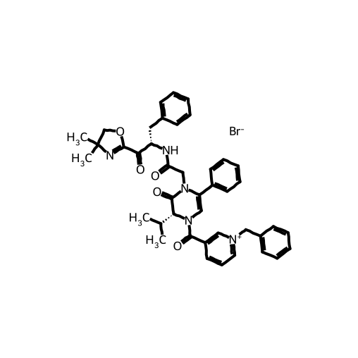 CC(C)[C@@H]1C(=O)N(CC(=O)N[C@@H](Cc2ccccc2)C(=O)C2=NC(C)(C)CO2)C(c2ccccc2)=CN1C(=O)c1ccc[n+](Cc2ccccc2)c1.[Br-]